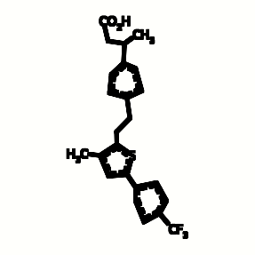 Cc1cc(-c2ccc(C(F)(F)F)cc2)sc1CCc1ccc(C(C)CC(=O)O)cc1